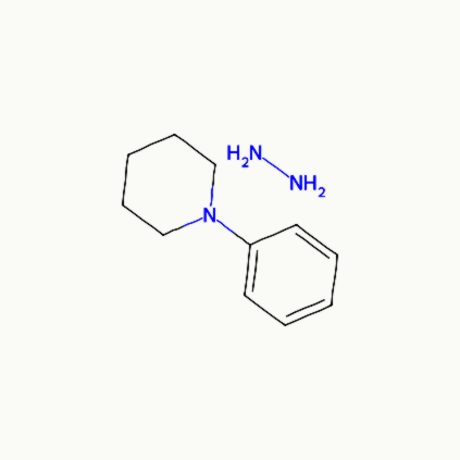 NN.c1ccc(N2CCCCC2)cc1